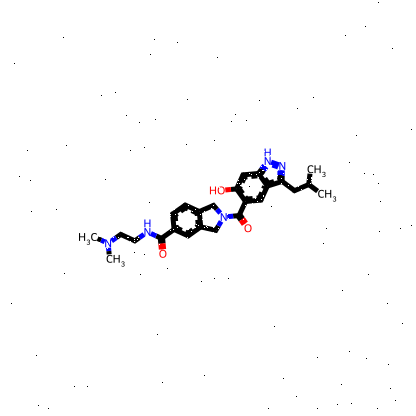 CC(C)Cc1n[nH]c2cc(O)c(C(=O)N3Cc4ccc(C(=O)NCCN(C)C)cc4C3)cc12